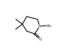 CC1(C)CCN(C(C)(C)C)C(=O)C1